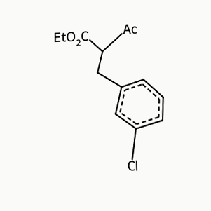 CCOC(=O)C(Cc1cccc(Cl)c1)C(C)=O